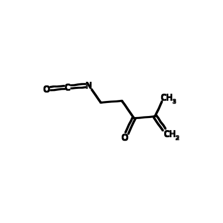 C=C(C)C(=O)CCN=C=O